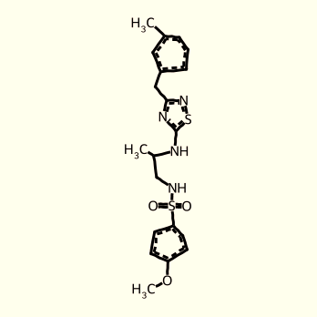 COc1ccc(S(=O)(=O)NCC(C)Nc2nc(Cc3cccc(C)c3)ns2)cc1